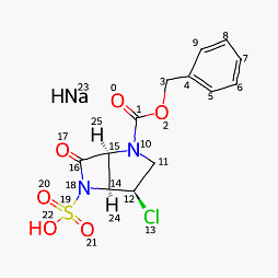 O=C(OCc1ccccc1)N1C[C@@H](Cl)[C@@H]2[C@H]1C(=O)N2S(=O)(=O)O.[NaH]